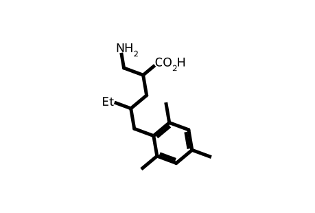 CCC(Cc1c(C)cc(C)cc1C)CC(CN)C(=O)O